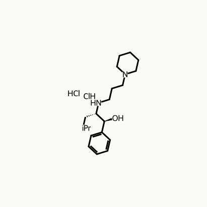 CC(C)C[C@H](NCCCN1CCCCC1)[C@@H](O)c1ccccc1.Cl.Cl